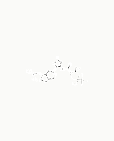 CC(C)Cn1ncc2cnc(-c3n[nH]cc3NC(=O)N3CCC(N)(C(F)(F)F)CC34CC4)cc21